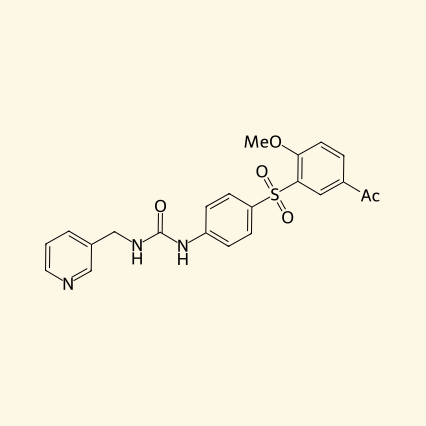 COc1ccc(C(C)=O)cc1S(=O)(=O)c1ccc(NC(=O)NCc2cccnc2)cc1